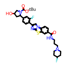 CC(C)(C)OC(=O)N1CC(O)CC1c1ccc(-c2cn3c(n2)sc2cc(C(=O)NCCCN4CCC(F)CC4)ccc23)c(F)c1